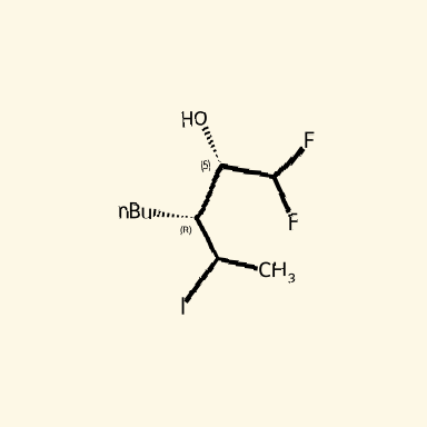 CCCC[C@@H](C(C)I)[C@H](O)C(F)F